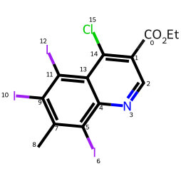 CCOC(=O)c1cnc2c(I)c(C)c(I)c(I)c2c1Cl